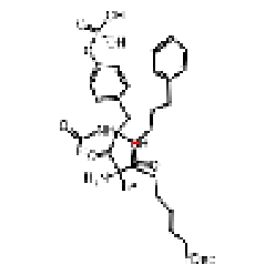 CCCCCCCCCCCCCCCCNC(Cc1ccc(OP(=O)(O)O)cc1)(NC(=O)CC)C(=O)C(N)(CCC)C(=O)OCCCc1ccccc1